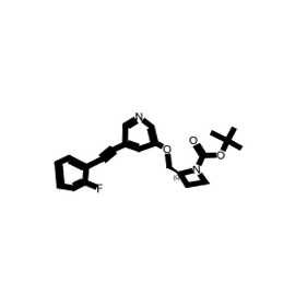 CC(C)(C)OC(=O)N1CC[C@H]1COc1cncc(C#Cc2ccccc2F)c1